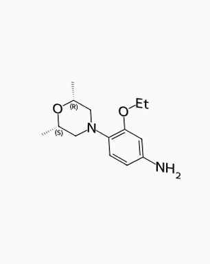 CCOc1cc(N)ccc1N1C[C@@H](C)O[C@@H](C)C1